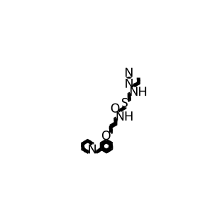 CCC(=NC#N)NCCSCC(=O)NCC=CCOc1cccc(CN2CCCCC2)c1